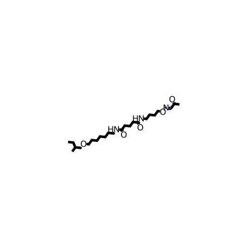 CCC(C)COCCCCCCCNC(=O)CCCC(=O)NCCCCO/N=C/C(C)=O